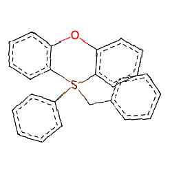 c1ccc(CS2(c3ccccc3)c3ccccc3Oc3ccccc32)cc1